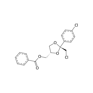 O=C(OC[C@@H]1CO[C@](CCl)(c2ccc(Cl)cc2)O1)c1ccccc1